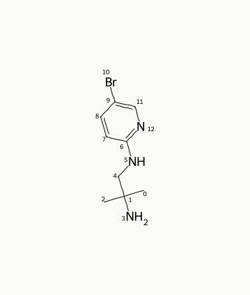 CC(C)(N)CNc1ccc(Br)cn1